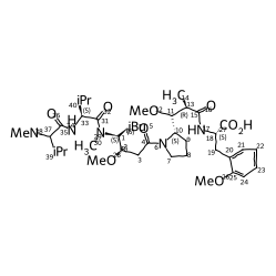 CC[C@H](C)[C@@H]([C@@H](CC(=O)N1CCC[C@H]1C(OC)[C@@H](C)C(=O)N[C@@H](Cc1ccccc1OC)C(=O)O)OC)N(C)C(=O)[C@@H](NC(=O)C(NC)C(C)C)C(C)C